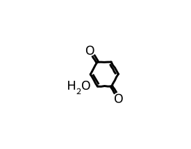 O.O=C1C=CC(=O)C=C1